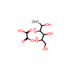 O=C(O)C(=O)O.O=CC(O)C(O)C(O)C(O)CO